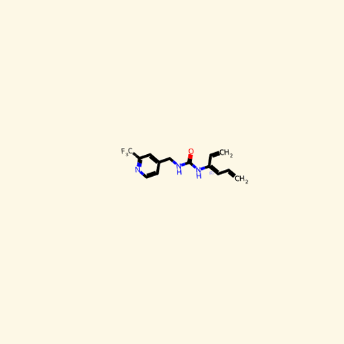 C=C/C=C(\C=C)NC(=O)NCc1ccnc(C(F)(F)F)c1